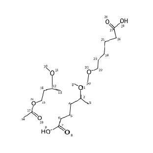 COC(C)CCCC(=O)O.COC(C)CCOC(C)=O.COCCCCCC(=O)O